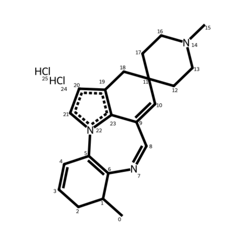 CC1CC=CC2=C1N=CC1=CC3(CCN(C)CC3)Cc3ccn2c31.Cl.Cl